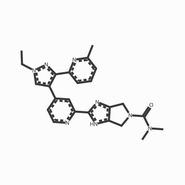 CCn1cc(-c2ccnc(-c3nc4c([nH]3)CN(C(=O)N(C)C)C4)c2)c(-c2cccc(C)n2)n1